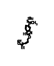 CC/C(=C\C=C/COc1nc2cc(N(C)SC(C)(C)C)ccc2[nH]1)OC(F)(F)F